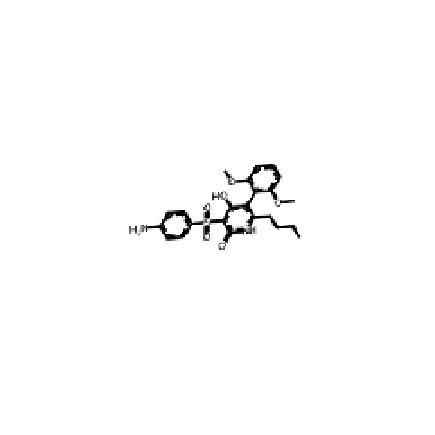 CCCCc1[nH]c(=O)c(S(=O)(=O)c2ccc(N)cc2)c(O)c1-c1c(OC)cccc1OC